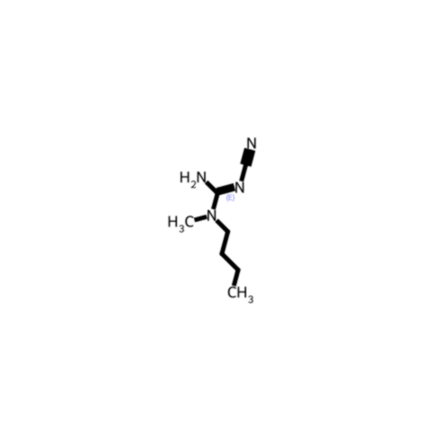 CCCCN(C)/C(N)=N/C#N